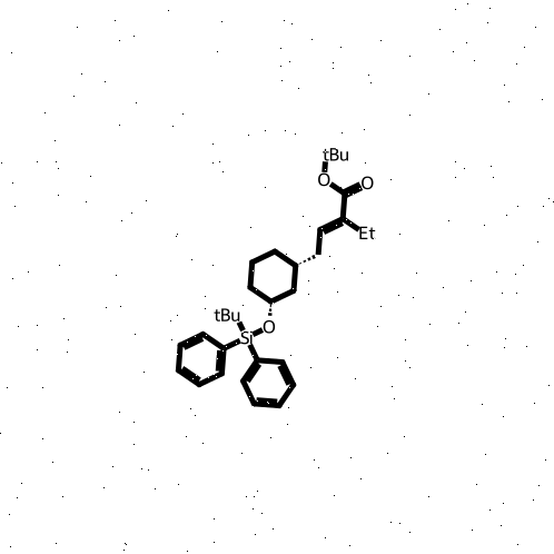 CC/C(=C\C[C@H]1CCC[C@@H](O[Si](c2ccccc2)(c2ccccc2)C(C)(C)C)C1)C(=O)OC(C)(C)C